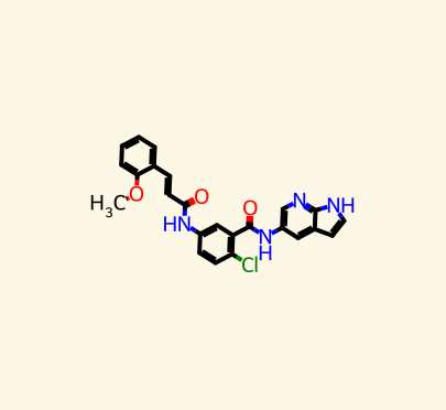 COc1ccccc1/C=C/C(=O)Nc1ccc(Cl)c(C(=O)Nc2cnc3[nH]ccc3c2)c1